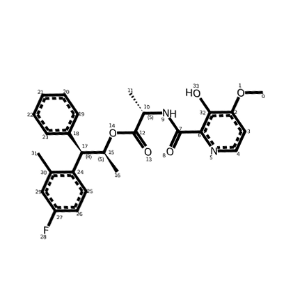 COc1ccnc(C(=O)N[C@@H](C)C(=O)O[C@@H](C)[C@H](c2ccccc2)c2ccc(F)cc2C)c1O